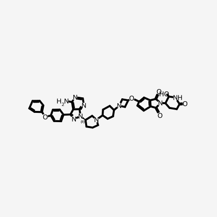 Nc1ncnc2c1c(-c1ccc(Oc3ccccc3)cc1)nn2[C@@H]1CCCN(C2CCC(N3CC(Oc4ccc5c(c4)C(=O)N(C4CCC(=O)NC4O)C5=O)C3)CC2)C1